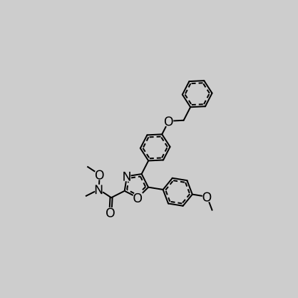 COc1ccc(-c2oc(C(=O)N(C)OC)nc2-c2ccc(OCc3ccccc3)cc2)cc1